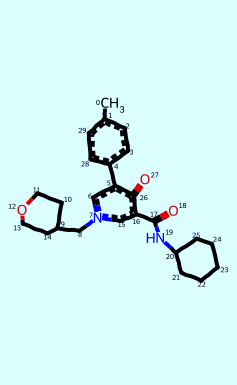 Cc1ccc(-c2cn(CC3CCOCC3)cc(C(=O)NC3CCCCC3)c2=O)cc1